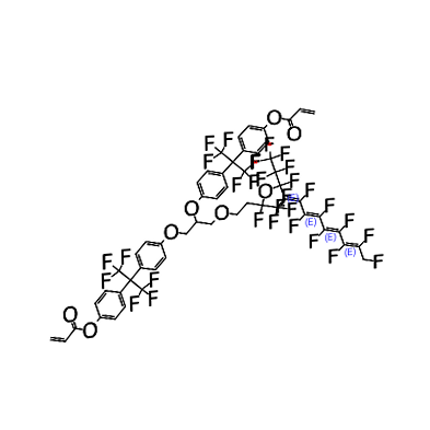 C=CC(=O)Oc1ccc(C(c2ccc(OCC(COCCC(F)(OC(F)(/C(F)=C(F)/C(F)=C(F)/C(F)=C(F)/C(F)=C(\F)CF)C(F)(F)C(F)(F)F)C(F)(F)F)Oc3ccc(C(c4ccc(OC(=O)C=C)cc4)(C(F)(F)F)C(F)(F)F)cc3)cc2)(C(F)(F)F)C(F)(F)F)cc1